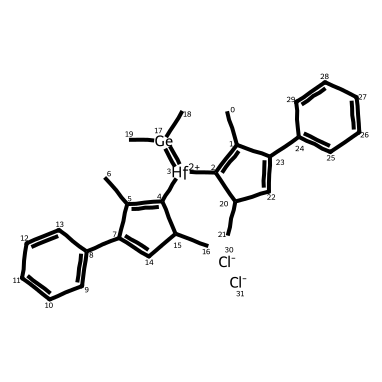 CC1=[C]([Hf+2]([C]2=C(C)C(c3ccccc3)=CC2C)=[Ge]([CH3])[CH3])C(C)C=C1c1ccccc1.[Cl-].[Cl-]